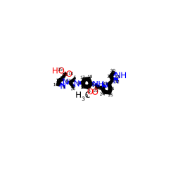 COc1cc(N2CC(n3nccc3C(=O)O)C2)ccc1NC(=O)c1cccc(-c2cc[nH]n2)n1